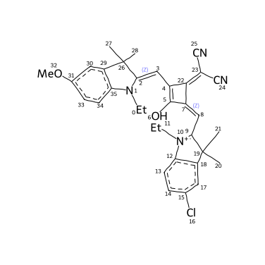 CCN1/C(=C\C2=C(O)C(=C\C3=[N+](CC)c4ccc(Cl)cc4C3(C)C)/C2=C(C#N)C#N)C(C)(C)c2cc(OC)ccc21